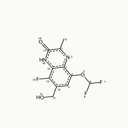 Cc1nc2c(OC(F)F)cc(CO)c(F)c2[nH]c1=O